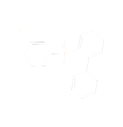 O=P1(c2cc(S)ccc2S)Oc2ccccc2-c2ccccc21